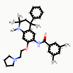 CC(=O)N1c2cc(OCCN3CCCC3)c(NC(=O)c3cc(C)cc(C)c3)cc2C(C)(c2ccccc2)CC1(C)C